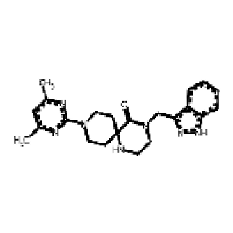 Cc1cc(C)nc(N2CCC3(CC2)NCCN(Cc2n[nH]c4ccccc24)C3=O)n1